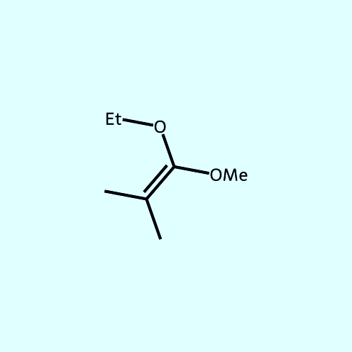 CCOC(OC)=C(C)C